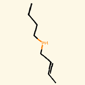 CC=CCPCCCC